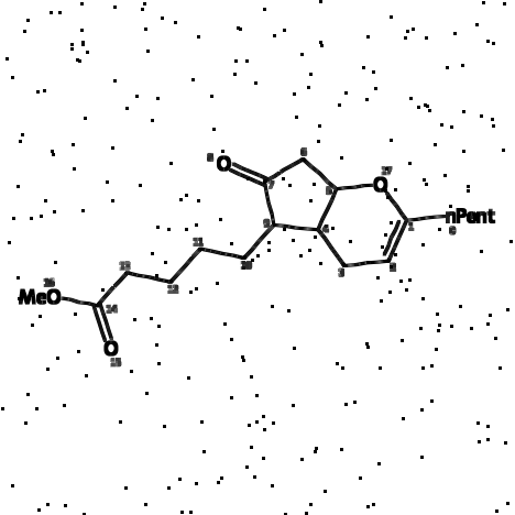 CCCCCC1=CCC2C(CC(=O)C2CCCCC(=O)OC)O1